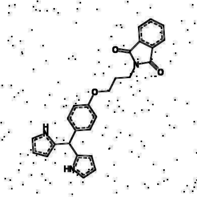 O=C1c2ccccc2C(=O)N1CCCOc1ccc(C(c2ccc[nH]2)c2ccc[nH]2)cc1